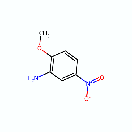 COc1c[c]c([N+](=O)[O-])cc1N